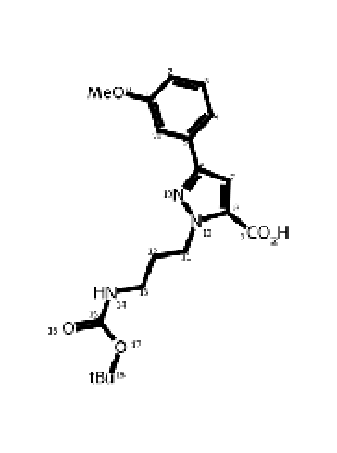 COc1cccc(-c2cc(C(=O)O)n(CCCNC(=O)OC(C)(C)C)n2)c1